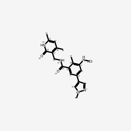 CCNc1cc(-c2cnn(C)c2)cc(C(=O)NCc2c(C)cc(C)[nH]c2=O)c1C